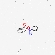 O=C1C2CC3CC(C2)CC1(ONc1ccccc1)C3